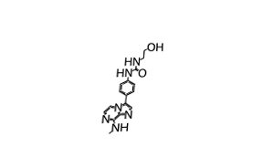 CNc1nccn2c(-c3ccc(NC(=O)NCCO)cc3)cnc12